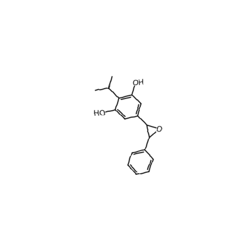 CC(C)c1c(O)cc(C2OC2c2ccccc2)cc1O